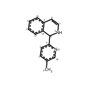 Cc1ccc(C2NC=Cc3ccccc32)nc1